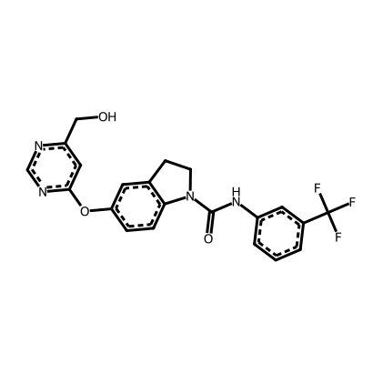 O=C(Nc1cccc(C(F)(F)F)c1)N1CCc2cc(Oc3cc(CO)ncn3)ccc21